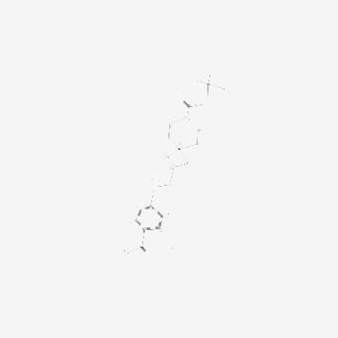 CC(C)(C)OC(=O)N1CCC2(CC1)CC(COc1ccc(C(N)=O)c(F)c1)C2